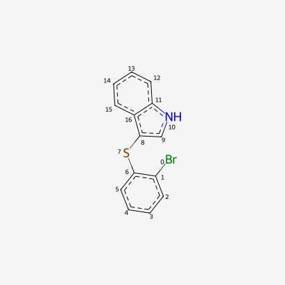 Brc1ccccc1Sc1c[nH]c2ccccc12